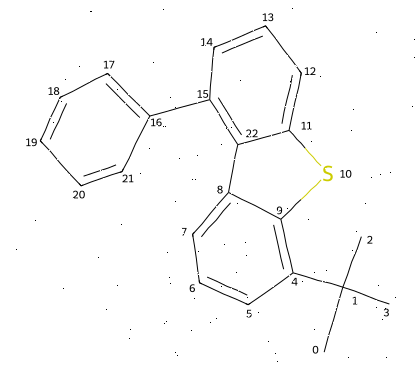 CC(C)(C)c1cccc2c1sc1cccc(-c3ccccc3)c12